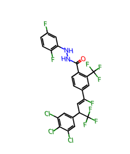 O=C(NNc1cc(F)ccc1F)c1ccc(C(F)=CC(c2cc(Cl)c(Cl)c(Cl)c2)C(F)(F)F)cc1C(F)(F)F